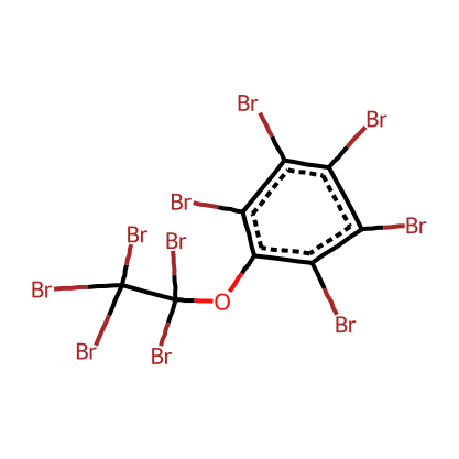 Brc1c(Br)c(Br)c(OC(Br)(Br)C(Br)(Br)Br)c(Br)c1Br